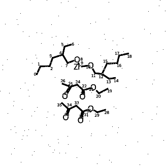 CCCCC(CC)C[O][Zr][O]CC(CC)CCCC.CCOC(=O)CC(C)=O.CCOC(=O)CC(C)=O